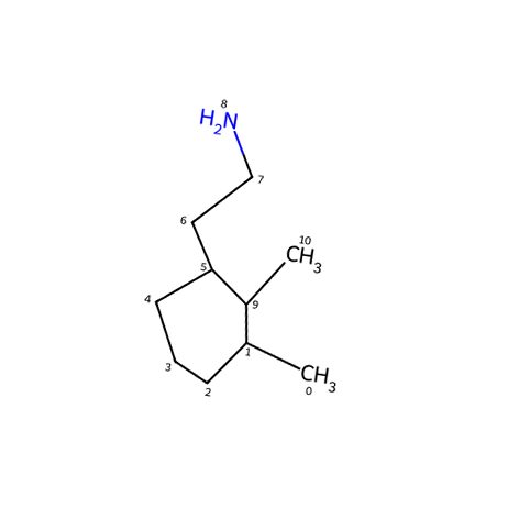 CC1CCCC(CCN)C1C